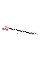 CCCCCCCCCCCCCCCCCCOP(=O)([O-])O.[K+]